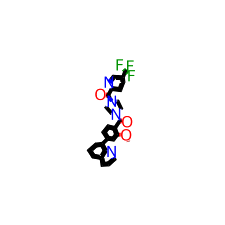 COc1cc(-c2cccc3cccnc23)ccc1C(=O)N1CCN(C(=O)c2ccc(C(F)(F)F)cn2)CC1